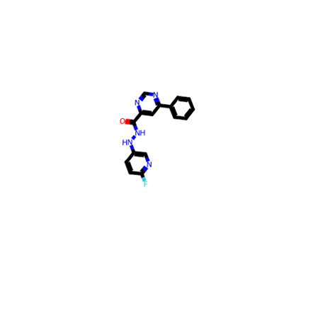 O=C(NNc1ccc(F)nc1)c1cc(-c2ccccc2)ncn1